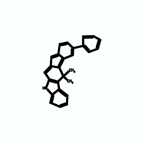 CC1(C)C2=c3cc(-c4ccccc4)ccc3=CC2=Cc2[nH]c3ccccc3c21